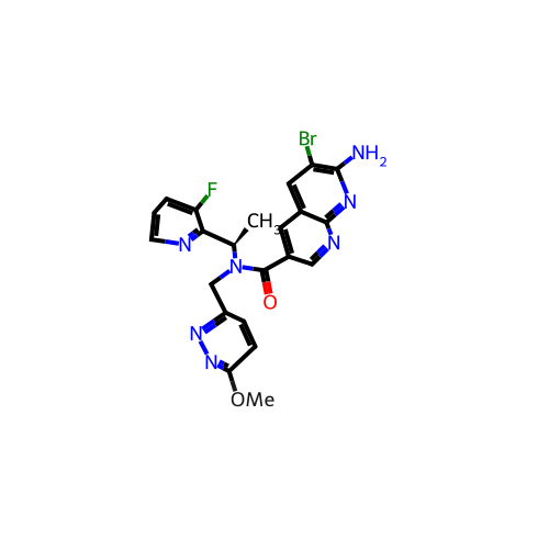 COc1ccc(CN(C(=O)c2cnc3nc(N)c(Br)cc3c2)[C@H](C)c2ncccc2F)nn1